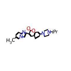 Cc1ccc2nc(-c3cc4ccc(N5CCN(C(C)C)CC5)cc4oc3=O)cn2c1